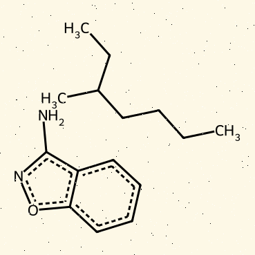 CCCCC(C)CC.Nc1noc2ccccc12